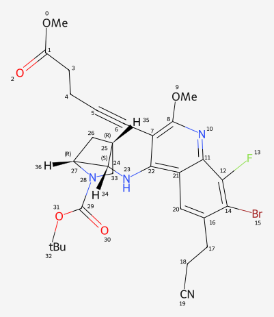 COC(=O)CCC#Cc1c(OC)nc2c(F)c(Br)c(CCC#N)cc2c1N[C@H]1[C@@H]2C[C@H]1N(C(=O)OC(C)(C)C)C2